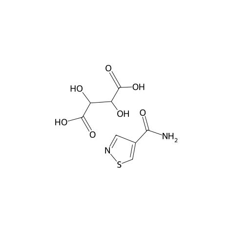 NC(=O)c1cnsc1.O=C(O)C(O)C(O)C(=O)O